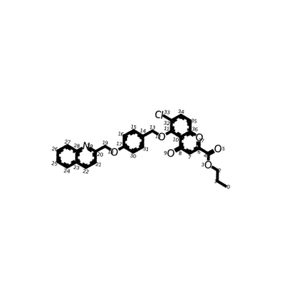 CCCOC(=O)c1cc(=O)c2c(OCc3ccc(OCc4ccc5ccccc5n4)cc3)c(Cl)ccc2o1